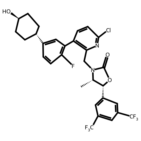 C[C@H]1[C@@H](c2cc(C(F)(F)F)cc(C(F)(F)F)c2)OC(=O)N1Cc1nc(Cl)ccc1-c1cc([C@H]2CC[C@H](O)CC2)ccc1F